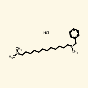 CN(C)CCCCCCCCCCCCN(C)Cc1ccccc1.Cl